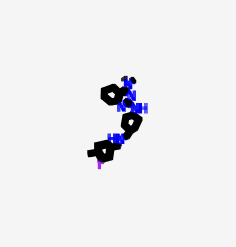 Cc1ccc(CNCC2CCC(Nc3nc4c(c(N(C)C)n3)CCCC4)CC2)cc1I